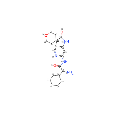 NC(C(=O)Nc1cc2c(cn1)C1(CCOCC1)C(=O)N2)C1CCCCC1